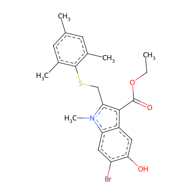 CCOC(=O)c1c(CSc2c(C)cc(C)cc2C)n(C)c2cc(Br)c(O)cc12